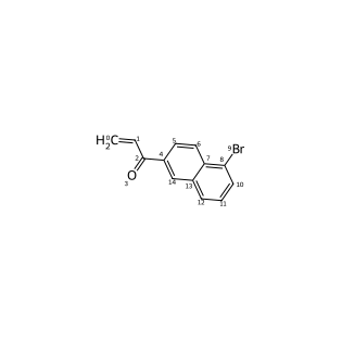 C=CC(=O)c1ccc2c(Br)cccc2c1